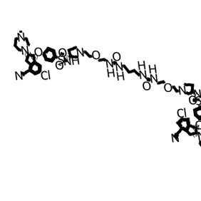 CN1CCCN([C@H]2Cc3c(C#N)cc(Cl)cc3[C@@H]2Oc2ccc(S(=O)(=O)N[C@H]3CCN(CCOCCNC(=O)NCCCCNC(=O)NCCOCCN4CC[C@H](NS(=O)(=O)c5ccc(O[C@H]6c7cc(Cl)cc(C#N)c7C[C@@H]6N6CCCN(C)CC6)cc5)C4)C3)cc2)CC1